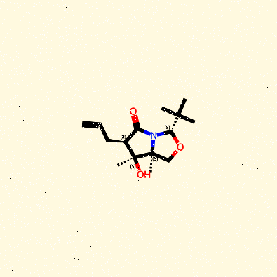 C=CC[C@H]1C(=O)N2[C@H](C(C)(C)C)OC[C@@]2(C)[C@@]1(C)O